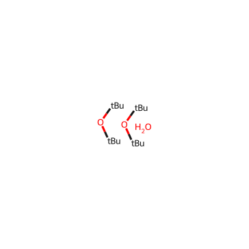 CC(C)(C)OC(C)(C)C.CC(C)(C)OC(C)(C)C.O